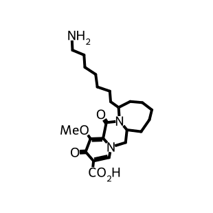 COc1c2n(cc(C(=O)O)c1=O)CC1CCCCCC(CCCCCCCN)N1C2=O